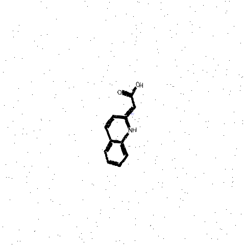 O=C(O)/C=C1\C=Cc2ccccc2N1